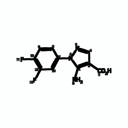 Nc1c(C(=O)O)cnn1-c1ccc(F)c(F)c1